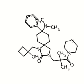 CN(C)C1(c2ccccc2)CCC2(CC1)CN(CC(C)(C)C(=O)N1CCSCC1)C(=O)N2CC1(O)CCC1